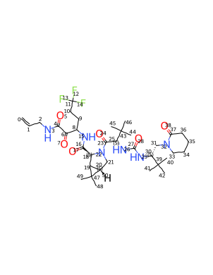 C=CCNC(=O)C(=O)C(CCC(F)(F)F)NC(=O)[C@@H]1C2[C@H](CN1C(=O)[C@@H](NC(=O)N[C@H](CN1CCCCC1=O)C(C)(C)C)C(C)(C)C)C2(C)C